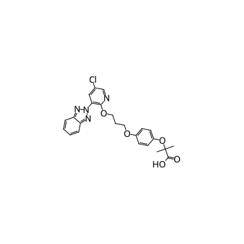 CC(C)(Oc1ccc(OCCCOc2ncc(Cl)cc2-n2nc3ccccc3n2)cc1)C(=O)O